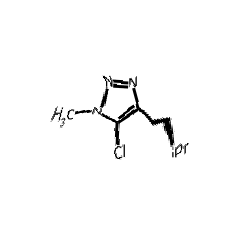 CC(C)Cc1nnn(C)c1Cl